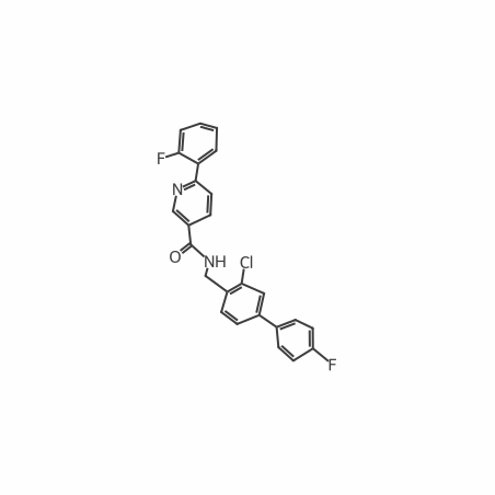 O=C(NCc1ccc(-c2ccc(F)cc2)cc1Cl)c1ccc(-c2ccccc2F)nc1